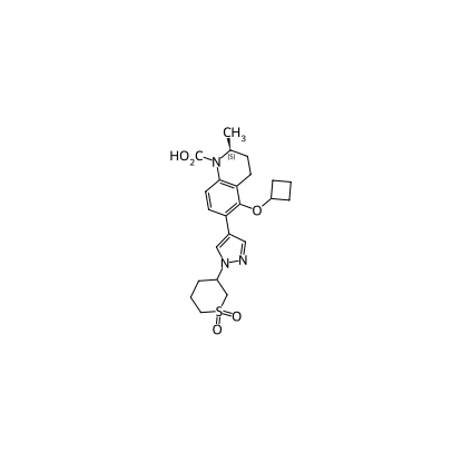 C[C@H]1CCc2c(ccc(-c3cnn(C4CCCS(=O)(=O)C4)c3)c2OC2CCC2)N1C(=O)O